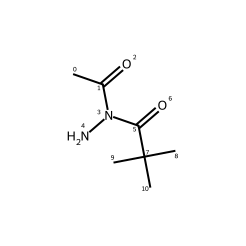 CC(=O)N(N)C(=O)C(C)(C)C